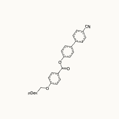 CCCCCCCCCCCOc1ccc(C(=O)Oc2ccc(-c3ccc(C#N)cc3)cc2)cc1